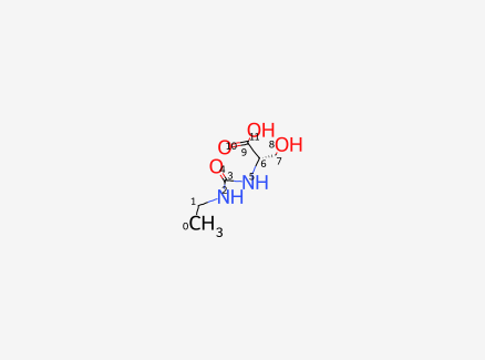 CCNC(=O)N[C@@H](CO)C(=O)O